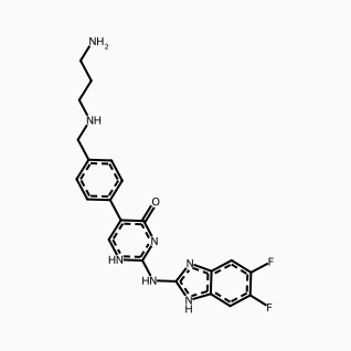 NCCCNCc1ccc(-c2c[nH]c(Nc3nc4cc(F)c(F)cc4[nH]3)nc2=O)cc1